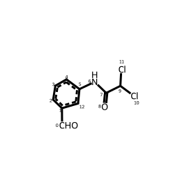 O=Cc1cccc(NC(=O)C(Cl)Cl)c1